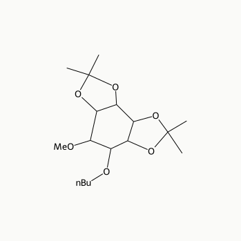 CCCCOC1C(OC)C2OC(C)(C)OC2C2OC(C)(C)OC12